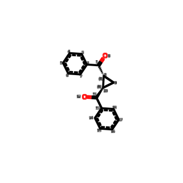 O=C(c1ccccc1)[C@@H]1C[C@H]1C(=O)c1ccccc1